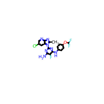 Cc1nc2ncc(Cl)cc2n1-c1nc(N)c(F)c(Nc2ccc(OC(F)F)cc2)n1